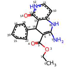 CCOC(=O)C1=C(N)Nc2cc[nH]c(=O)c2C1c1ccccc1